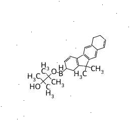 CC1(C)C2=C(C=CC(BOC(C)(C)C(C)(C)O)C2)c2cc3c(cc21)C=CCC3